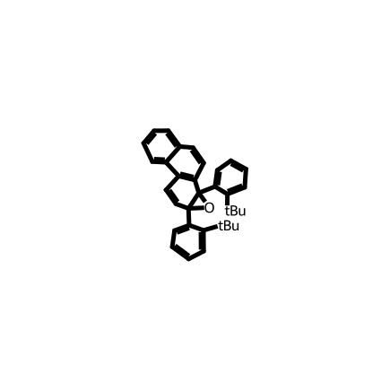 CC(C)(C)c1ccccc1C12C=Cc3c(ccc4ccccc34)C1(c1ccccc1C(C)(C)C)O2